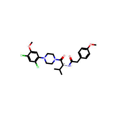 COc1ccc(CC(=O)N[C@@H](C(=O)N2CCN(c3cc(OC)c(Cl)cc3Cl)CC2)C(C)C)cc1